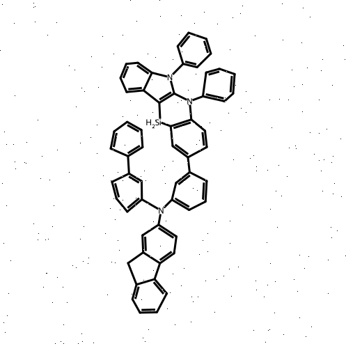 c1ccc(-c2cccc(N(c3cccc(-c4ccc5c(c4)[SiH2]c4c(n(-c6ccccc6)c6ccccc46)N5c4ccccc4)c3)c3ccc4c(c3)Cc3ccccc3-4)c2)cc1